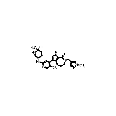 Cn1cc(CN2CCCc3c(-c4nc(N[C@H]5CCC(C)(C)NC5)ncc4C(F)(F)F)c[nH]c3C2=O)cn1